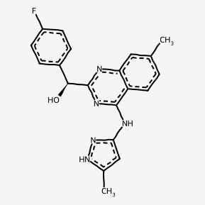 Cc1ccc2c(Nc3cc(C)[nH]n3)nc([C@@H](O)c3ccc(F)cc3)nc2c1